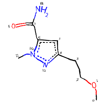 COCCc1cc(C(N)=O)n(C)n1